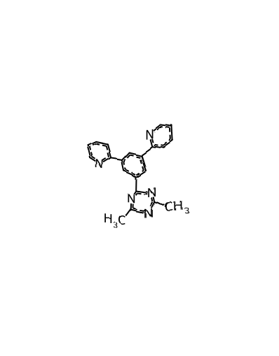 Cc1nc(C)nc(-c2cc(-c3ccccn3)cc(-c3ccccn3)c2)n1